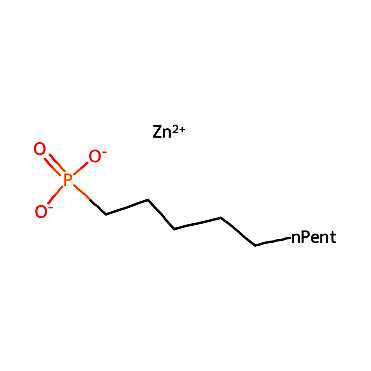 CCCCCCCCCCP(=O)([O-])[O-].[Zn+2]